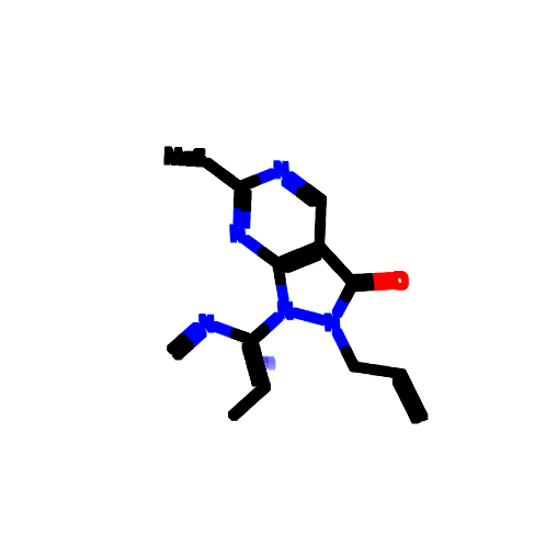 C=CCn1c(=O)c2cnc(SC)nc2n1/C(=C/C)N=C